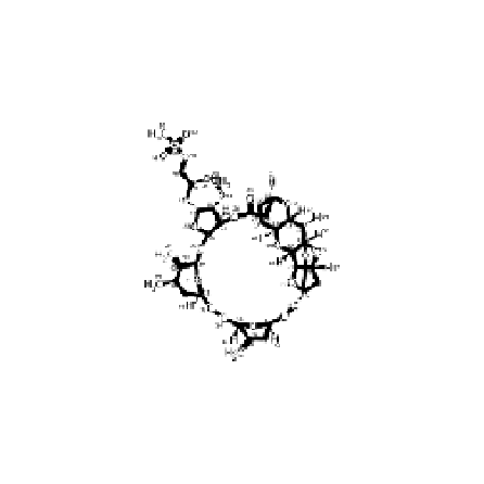 C=C1C[C@@H]2CC[C@@]34C[C@H]5O[C@H]6[C@@H](O3)[C@H]3O[C@H](CC[C@@H]3O[C@H]6C5O4)CC(=O)C[C@H]3C(C[C@H]4O[C@@H](CC[C@@H]1O2)C[C@@H](C)C4=C)O[C@H](C[C@H](O)COS(C)(=O)=O)[C@@H]3OC